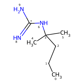 CCCC(C)(C)NC(=N)N